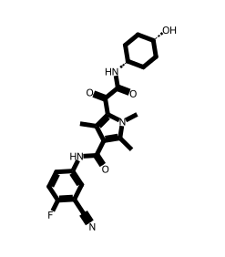 Cc1c(C(=O)Nc2ccc(F)c(C#N)c2)c(C)n(C)c1C(=O)C(=O)N[C@H]1CC[C@@H](O)CC1